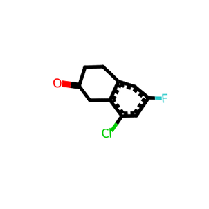 O=C1CCc2cc(F)cc(Cl)c2C1